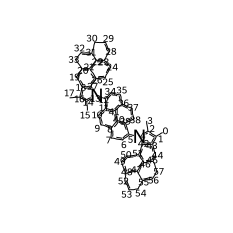 Cc1c(C)n(-c2ccc3ccc4c(-n5c(C)c(C)c6cc7c8c9c(ccc8c65)C=CCC9=CC7)ccc5ccc2c3c54)c2c1cc1c3c4c(ccc32)C=CCC4=CC1